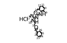 CN=C(NC(=O)Nc1c(C)cccc1C)N(C)CCOCc1ccccc1.Cl